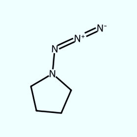 [N-]=[N+]=NN1CCCC1